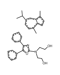 Cc1ccc(C(C)C)cc2c(C)ccc1-2.OCCN(CCO)c1nc(-c2ccccc2)c(-c2ccccc2)o1